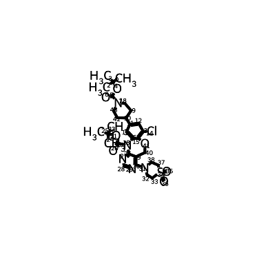 CC(C)(C)OC(=O)N1CCC(c2cc(Cl)c3c(c2)N(C(=O)OC(C)(C)C)c2ncnc(N4CCS(=O)(=O)CC4)c2CO3)CC1